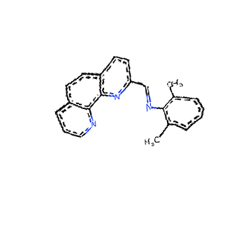 Cc1cccc(C)c1N=Cc1ccc2ccc3cccnc3c2n1